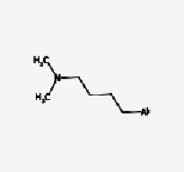 CN(C)CCC[CH2][Al]